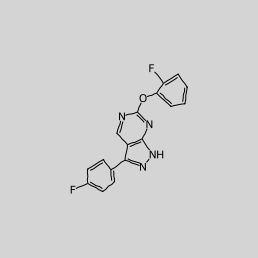 Fc1ccc(-c2n[nH]c3nc(Oc4ccccc4F)ncc23)cc1